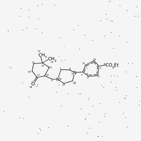 CCOC(=O)c1ccc(N2CCN(CC3CC(C)(C)CCC3=O)CC2)cc1